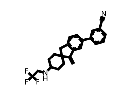 C=C1c2cc(-c3cccc(C#N)c3)ccc2CC12CCC(NCC(F)(F)F)CC2